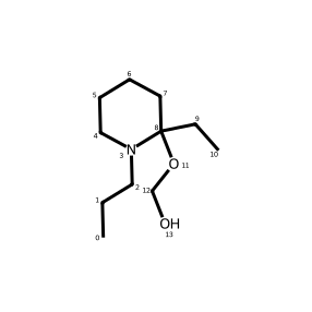 CCCN1CCCCC1(CC)OCO